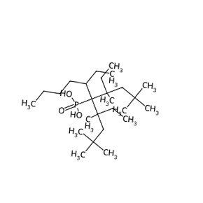 CCCCC(CC)C(C(C)(CC)CC(C)(C)C)(C(C)(CC)CC(C)(C)C)P(=O)(O)O